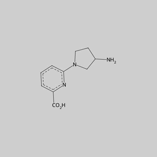 NC1CCN(c2cccc(C(=O)O)n2)C1